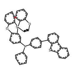 c1ccc(N(c2ccc(-c3cccc4c3sc3ccccc34)cc2)c2ccc3c(c2)[Si]2(c4ccccc4Oc4ccccc42)c2ccccc2O3)cc1